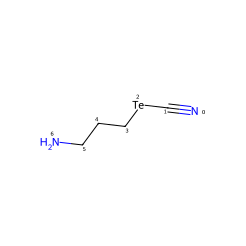 N#C[Te]CCCN